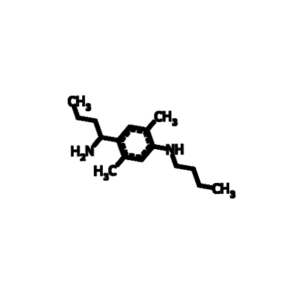 CCCCNc1cc(C)c(C(N)CCC)cc1C